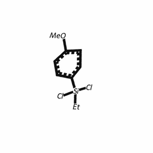 CC[Si](Cl)(Cl)c1ccc(OC)cc1